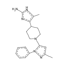 Cc1cc(N2CCC(c3nc(N)[nH]c3C)CC2)n(-c2ccccc2)n1